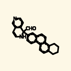 O=CC1(c2ccc3c(ccc4c5c(ccc43)CCCC5)c2)NC=Cc2cnccc21